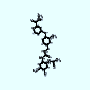 CNC(=O)c1cc(Oc2ccc(CNC(=O)Nc3cc(C)c(Cl)cc3NC(C)=O)cc2C)ccn1